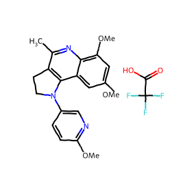 COc1cc(OC)c2nc(C)c3c(c2c1)N(c1ccc(OC)nc1)CC3.O=C(O)C(F)(F)F